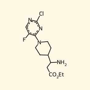 CCOC(=O)CC(N)C1CCN(c2nc(Cl)ncc2F)CC1